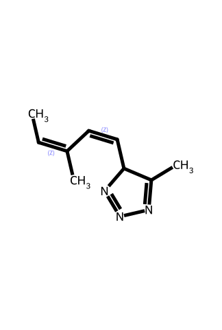 C/C=C(C)\C=C/C1N=NN=C1C